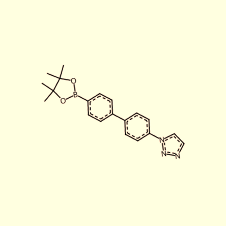 CC1(C)OB(c2ccc(-c3ccc(-n4ccnn4)cc3)cc2)OC1(C)C